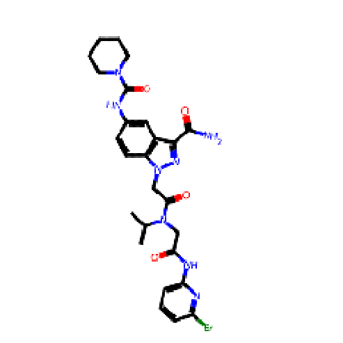 CC(C)N(CC(=O)Nc1cccc(Br)n1)C(=O)Cn1nc(C(N)=O)c2cc(NC(=O)N3CCCCC3)ccc21